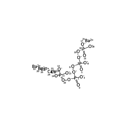 O=P([O-])([O-])[O-].O=P([O-])([O-])[O-].O=P([O-])([O-])[O-].O=P([O-])([O-])[O-].[Ba+2].[Ba+2].[Ba+2].[Ca+2].[Ca+2].[Ca+2]